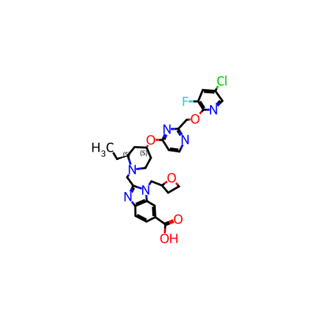 CC[C@H]1C[C@@H](Oc2ccnc(COc3ncc(Cl)cc3F)n2)CCN1Cc1nc2ccc(C(=O)O)cc2n1CC1CCO1